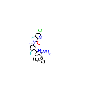 C[C@@H](/N=C(/N)CCC1(C)CCC1)c1cc(NC(=O)c2ncc(Cl)cc2F)ccc1F